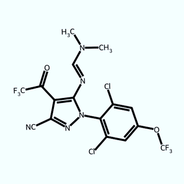 CN(C)C=Nc1c(C(=O)C(F)(F)F)c(C#N)nn1-c1c(Cl)cc(OC(F)(F)F)cc1Cl